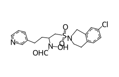 O=CN(O)C(CCc1cccnc1)CS(=O)(=O)N1CCc2ccc(Cl)cc2C1